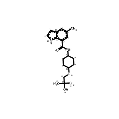 Cc1cc(C(=O)NC2CCC(OCC(C)(O)C(F)(F)F)CC2)c2[nH]ccc2c1